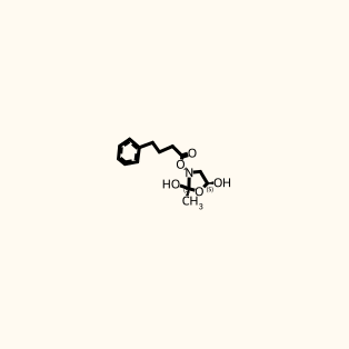 C[C@]1(O)O[C@H](O)CN1OC(=O)CCCc1ccccc1